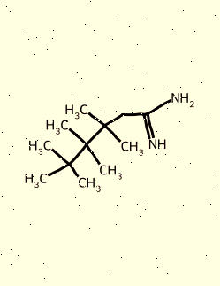 CC(C)(C)C(C)(C)C(C)(C)CC(=N)N